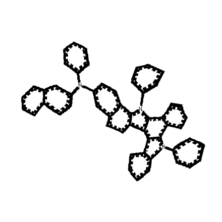 c1ccc(N(c2ccc3ccccc3c2)c2ccc3c(ccc4c5c6c7ccccc7n(-c7ccccc7)c6c6ccccc6c5n(-c5ccccc5)c34)c2)cc1